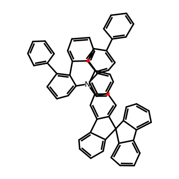 c1ccc(-c2ccc(N(c3ccc4c(c3)-c3ccccc3C43c4ccccc4-c4ccccc43)c3cccc(-c4ccccc4)c3-c3ccccc3-c3ccccc3)cc2)cc1